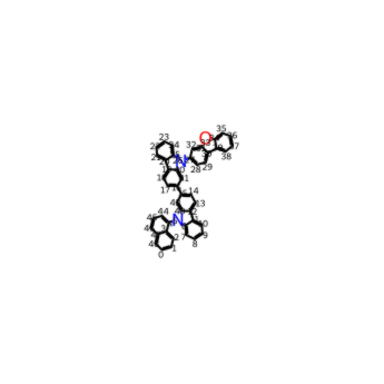 c1ccc2c(-n3c4ccccc4c4ccc(-c5ccc6c7ccccc7n(-c7ccc8c(c7)oc7ccccc78)c6c5)cc43)cccc2c1